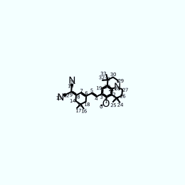 COc1c(/C=C/C2=CC(=C(C#N)C#N)CC(C)(C)C2)cc2c3c1C(C)(C)CCN3CCC2(C)C